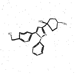 OCc1ccc(-c2cc(C3(O)CCC(O)CC3)nn2-c2ccccc2)cc1